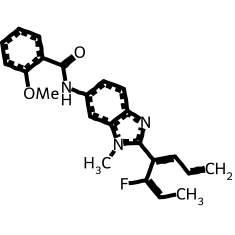 C=C/C=C(\C(F)=C/C)c1nc2ccc(NC(=O)c3ccccc3OC)cc2n1C